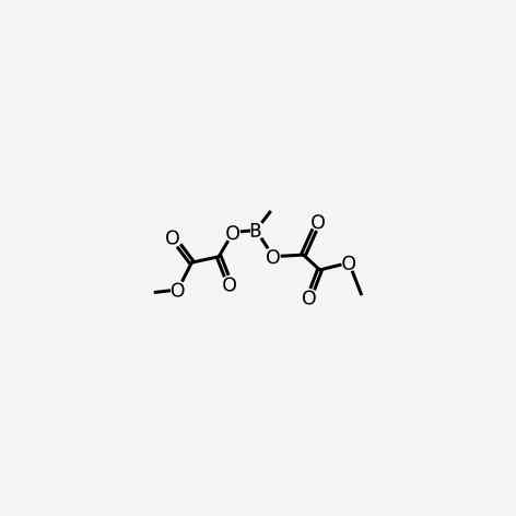 COC(=O)C(=O)OB(C)OC(=O)C(=O)OC